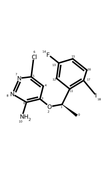 C[C@@H](Oc1cc(Cl)nnc1N)c1cc(F)ccc1I